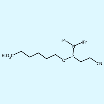 CCOC(=O)CCCCCOP(CCC#N)N(C(C)C)C(C)C